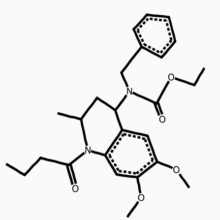 CCCC(=O)N1c2cc(OC)c(OC)cc2C(N(Cc2ccccc2)C(=O)OCC)CC1C